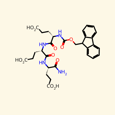 NC(=O)[C@H](CCC(=O)O)NC(=O)[C@H](CCC(=O)O)NC(=O)[C@H](CCC(=O)O)NC(=O)OCC1c2ccccc2-c2ccccc21